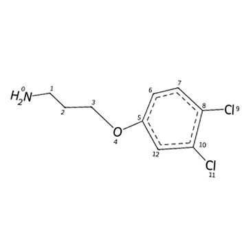 NCCCOc1ccc(Cl)c(Cl)c1